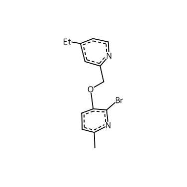 CCc1ccnc(COc2ccc(C)nc2Br)c1